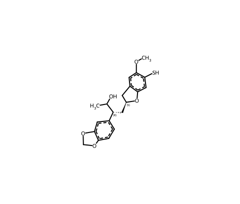 COc1cc2c(cc1S)O[C@@H](C[C@H](c1ccc3c(c1)OCO3)C(C)O)C2